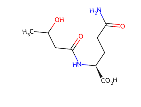 CC(O)CC(=O)N[C@@H](CCC(N)=O)C(=O)O